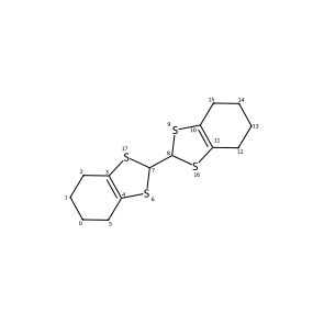 C1CCC2=C(C1)SC(C1SC3=C(CCCC3)S1)S2